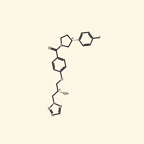 O=C(c1ccc(OC[C@H](O)Cn2ncnn2)cc1)N1CC[C@H](c2ccc(F)cc2)C1